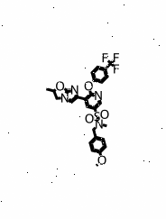 COc1ccc(CN(C)S(=O)(=O)c2cnc(Oc3ccc(C(F)(F)F)cc3)c(-c3cn4c(n3)OC(C)C4)c2)cc1